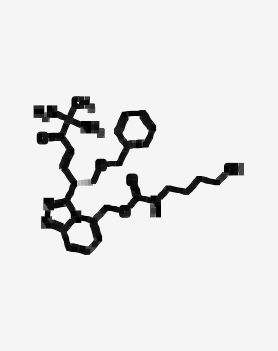 CC(N)(N)C(=O)/C=C/[C@H](COCc1ccccc1)c1nnc2cccc(COC(=O)NCCCCO)n12